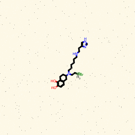 Br.Br.CCCN(CCCCCCNCCc1c[nH]cn1)C1CCc2c(ccc(O)c2O)C1